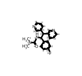 CN(C)C(=O)NC(c1ccc(F)cc1)C(c1cccnc1)c1cccnc1